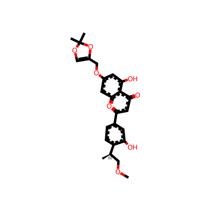 COC[C@@H](C)c1ccc(-c2cc(=O)c3c(O)cc(OCC4=COC(C)(C)O4)cc3o2)cc1O